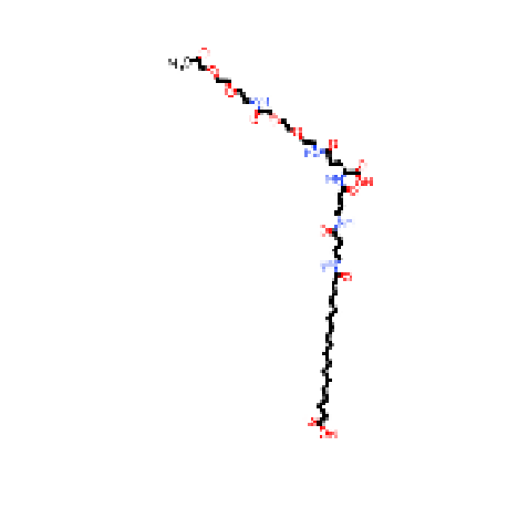 CC(=O)COCCOCCNC(=O)COCCOCCNC(=O)CC[C@H](NC(=O)CCCNC(=O)CCCNC(=O)CCCCCCCCCCCCCCCCC(=O)O)C(=O)O